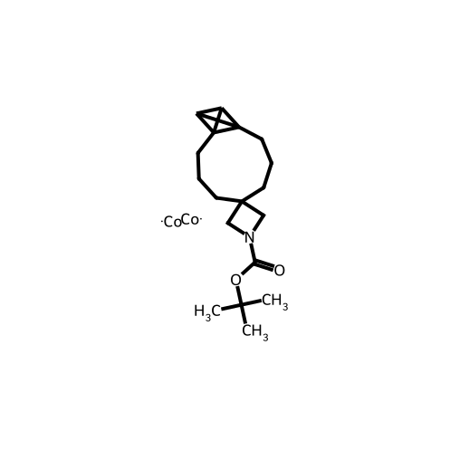 CC(C)(C)OC(=O)N1CC2(CCCC34C5C3C54CCC2)C1.[Co].[Co]